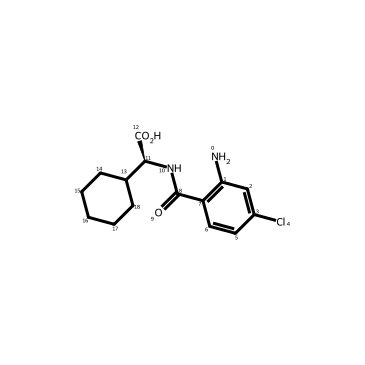 Nc1cc(Cl)ccc1C(=O)N[C@H](C(=O)O)C1CCCCC1